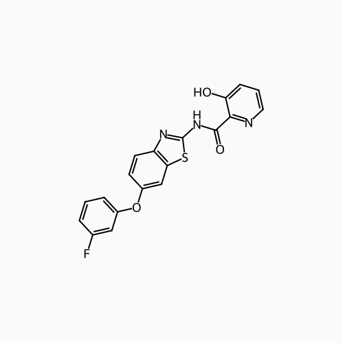 O=C(Nc1nc2ccc(Oc3cccc(F)c3)cc2s1)c1ncccc1O